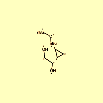 C1CC1.CCCCOCCCC.OCCO